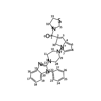 O=C(C1=CC2=CC=C[N@@+]2(N2CCN(c3nc4ccccc4n3-c3ccccc3)CC2)C1)N1CCSC1